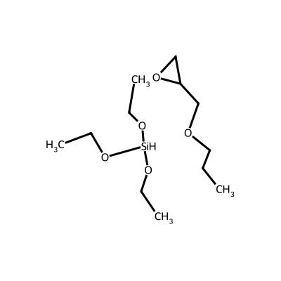 CCCOCC1CO1.CCO[SiH](OCC)OCC